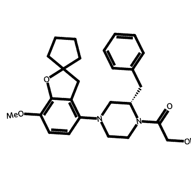 COc1ccc(N2CCN(C(=O)CO)[C@@H](Cc3ccccc3)C2)c2c1OC1(CCCC1)C2